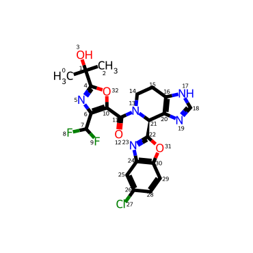 CC(C)(O)c1nc(C(F)F)c(C(=O)N2CCc3[nH]cnc3[C@H]2c2nc3cc(Cl)ccc3o2)o1